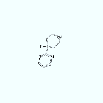 FC1(c2ncccn2)CCNCC1